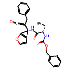 CC(C)C[C@H](NC(=O)OCc1ccccc1)C(=O)N[C@]1(C(=C=O)Cc2ccccc2)c2ccoc21